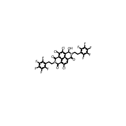 O=C1c2c(Cl)cc3c4c(c(Cl)c(Cl)c(c24)C(=O)N1CCc1c(F)c(F)c(F)c(F)c1F)C(O)N(CCc1c(F)c(F)c(F)c(F)c1F)C3=O